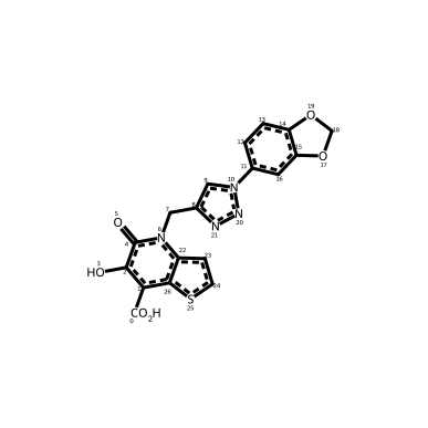 O=C(O)c1c(O)c(=O)n(Cc2cn(-c3ccc4c(c3)OCO4)nn2)c2ccsc12